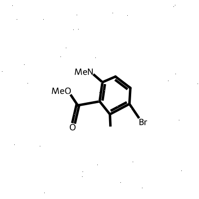 CNc1ccc(Br)c(C)c1C(=O)OC